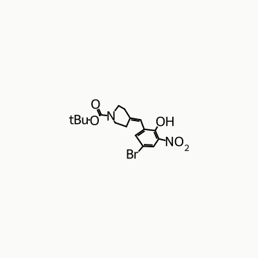 CC(C)(C)OC(=O)N1CCC(=Cc2cc(Br)cc([N+](=O)[O-])c2O)CC1